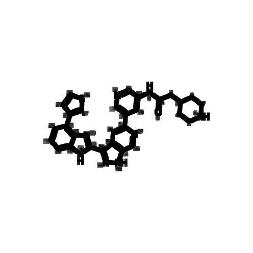 O=C(CC1CCNCC1)Nc1cncc(-c2cc3c(-c4nc5c(-c6ccsc6)cccc5[nH]4)n[nH]c3cn2)c1